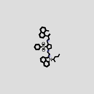 C=C(/C=C/C1=C(S(=O)(=O)c2ccccc2)C(=C/C=c2\c3cccc4cccc(c43)n2C(C)CCC)/CC1)c1cccc2cccc(C)c12